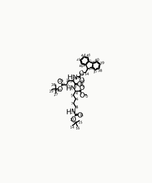 COC(=O)C(CCCCNC(=O)OC(C)(C)C)NC(=O)C(CCC(=O)OC(C)(C)C)NC(=O)OCC1c2ccccc2-c2ccccc21